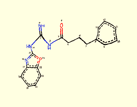 N=C(NC(=O)CCCc1ccccc1)Nc1nc2ccccc2o1